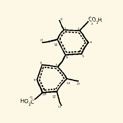 Cc1c(C(=O)O)ccc(-c2ccc(C(=O)O)c(C)c2C)c1C